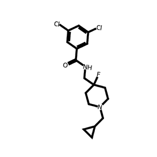 O=C(NCC1(F)CCN(CC2CC2)CC1)c1cc(Cl)cc(Cl)c1